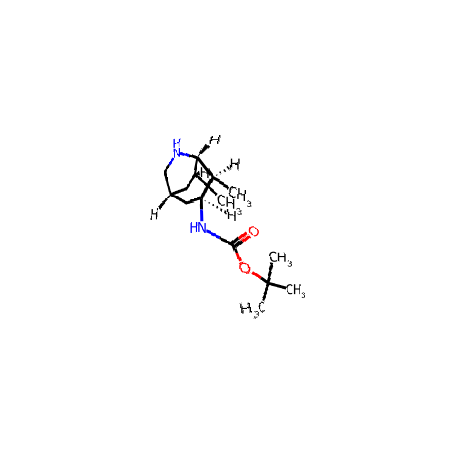 C[C@@H]1[C@H]2NC[C@H](C[C@H]2C)C[C@@H]1NC(=O)OC(C)(C)C